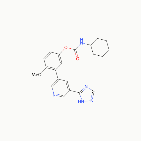 COc1ccc(OC(=O)NC2CCCCC2)cc1-c1cncc(-c2ncn[nH]2)c1